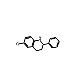 Clc1ccc2c(c1)CCC(c1ccccc1)N2